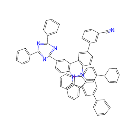 N#Cc1cccc(-c2ccc(-n3c4ccccc4c4cc(-c5ccccc5)ccc43)c(-c3cc(-c4nc(-c5ccccc5)nc(-c5ccccc5)n4)ccc3-n3c4ccccc4c4cc(C5C=CC=CC5)ccc43)c2)c1